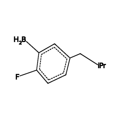 Bc1cc(CC(C)C)ccc1F